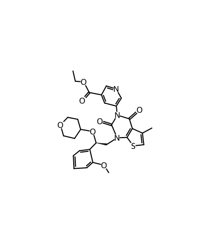 CCOC(=O)c1cncc(-n2c(=O)c3c(C)csc3n(C[C@H](OC3CCOCC3)c3ccccc3OC)c2=O)c1